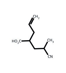 C=CCC(CC(C)C#N)C(=O)O